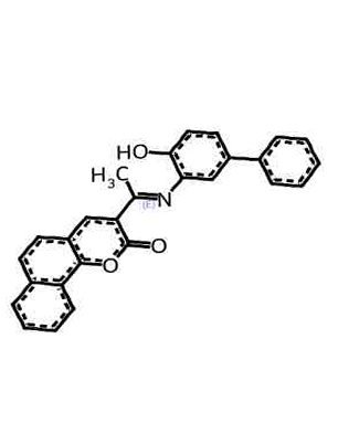 C/C(=N\c1cc(-c2ccccc2)ccc1O)c1cc2ccc3ccccc3c2oc1=O